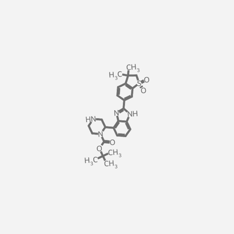 CC(C)(C)OC(=O)N1CCNCC1c1cccc2[nH]c(-c3ccc4c(c3)S(=O)(=O)CC4(C)C)nc12